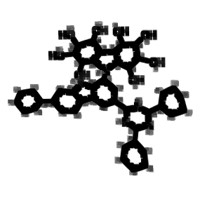 Oc1c(O)c(O)c2c(c1O)c1c(O)c(O)c(O)c(O)c1n2-c1cc(-c2nc(-c3ccccc3)nc(-c3ccccc3)n2)cc2c1sc1cc(-c3ccccc3)ccc12